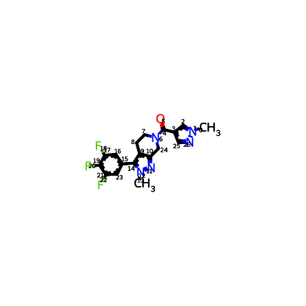 Cn1cc(C(=O)N2CCc3c(nn(C)c3-c3cc(F)c(F)c(F)c3)C2)cn1